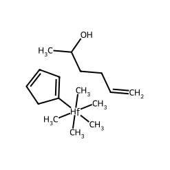 C=CCCC(C)O.[CH3][Hf]([CH3])([CH3])([CH3])([CH3])[C]1=CC=CC1